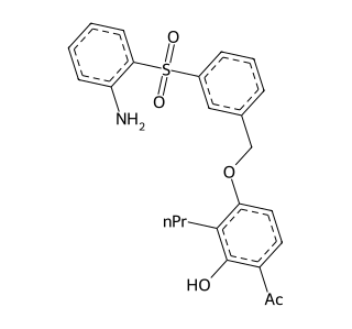 CCCc1c(OCc2cccc(S(=O)(=O)c3ccccc3N)c2)ccc(C(C)=O)c1O